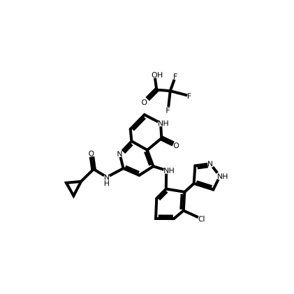 O=C(Nc1cc(Nc2cccc(Cl)c2-c2cn[nH]c2)c2c(=O)[nH]ccc2n1)C1CC1.O=C(O)C(F)(F)F